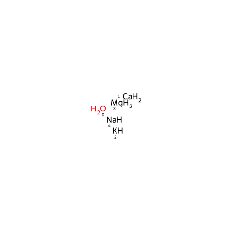 O.[CaH2].[KH].[MgH2].[NaH]